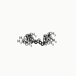 CCC(C)N(C(=O)[C@H](CC)CNC(=O)OC)[C@@H](C)c1nc2ccc3cc4c(cc3c2[nH]1)OCc1cc(-c2cnc([C@H](C)N(C[C@H](C)COC)C(=O)[C@@H](NC(=O)OC)C(C)C)[nH]2)ccc1-4